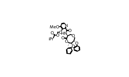 COc1ccnc(C(=O)N[C@H]2COC[C@H](Oc3ccccc3)[C@@H](Oc3ccccc3)[C@H](C)OC2=O)c1OCOC(=O)C(C)C